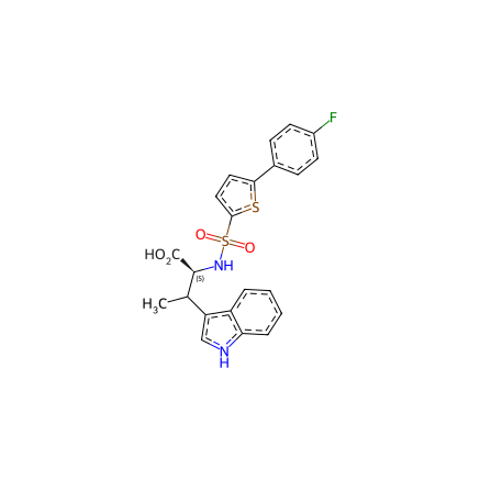 CC(c1c[nH]c2ccccc12)[C@H](NS(=O)(=O)c1ccc(-c2ccc(F)cc2)s1)C(=O)O